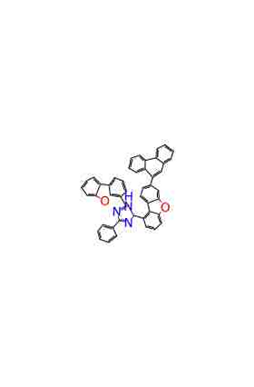 c1ccc(C2=NC(c3cccc4oc5cc(-c6cc7ccccc7c7ccccc67)ccc5c34)NC(c3cccc4c3oc3ccccc34)=N2)cc1